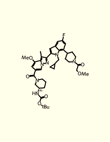 COCC(=O)N1CCC(c2cc(F)cc3cc(-c4nn5cc(C(=O)N6CCC[C@@H](NC(=O)OC(C)(C)C)C6)cc(OC)c5c4C)n(CC4CC4)c23)CC1